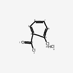 Cl.O=C(Cl)c1ccccc1Cl